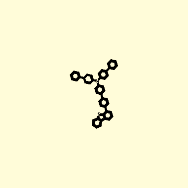 C1=CC(c2ccccc2)CC=C1N(c1ccc(-c2ccccc2)cc1)c1ccc(-c2ccc(-c3cccc4c3sc3ccccc34)cc2)cc1